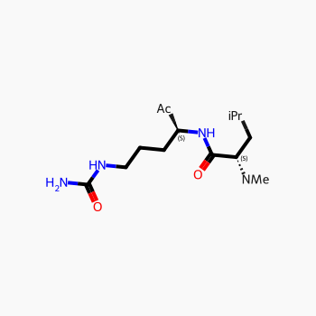 CN[C@@H](CC(C)C)C(=O)N[C@@H](CCCNC(N)=O)C(C)=O